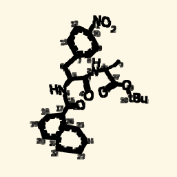 C[C@H](NC(=O)C(Cc1ccc([N+](=O)[O-])cc1)NC(=O)c1cccc2ccccc12)C(=O)OC(C)(C)C